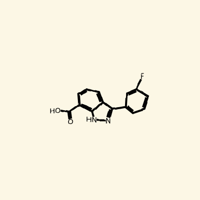 O=C(O)c1cccc2c(-c3cccc(F)c3)n[nH]c12